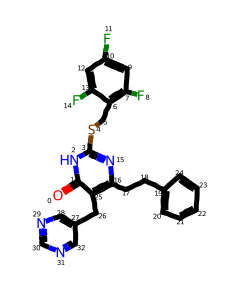 O=c1[nH]c(SCc2c(F)cc(F)cc2F)nc(CCc2ccccc2)c1Cc1cncnc1